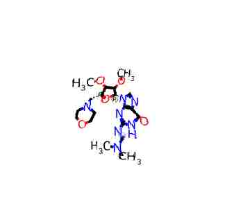 COC1C(OC)[C@@H](CN2CCOCC2)O[C@H]1n1cnc2c(=O)[nH]c(/N=C/N(C)C)nc21